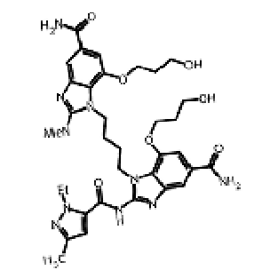 CCn1nc(C)cc1C(=O)Nc1nc2cc(C(N)=O)cc(OCCCO)c2n1CCCCn1c(NC)nc2cc(C(N)=O)cc(OCCCO)c21